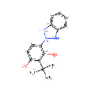 CC(C)(C)c1c(O)ccc(N2Nc3ccccc3N2)c1O